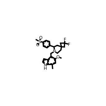 COc1cc(C)c2[nH]ccc2c1CN1CCC2(CC1c1ccc(S(C)(=O)=O)cc1)CC(F)(F)C2